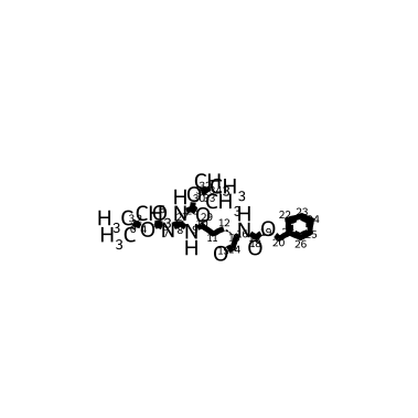 CC(C)(C)OC(=O)/N=C(/NCCC[C@@H](C=O)NC(=O)OCc1ccccc1)NC(=O)OC(C)(C)C